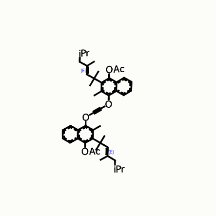 CC(=O)Oc1c(C(C)(C)/C=C(\C)CC(C)C)c(C)c(OC#COc2c(C)c(C(C)(C)/C=C(\C)CC(C)C)c(OC(C)=O)c3ccccc23)c2ccccc12